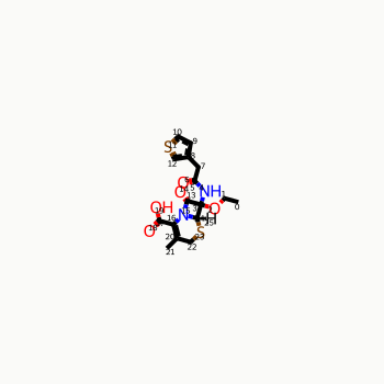 CCOC1(NC(=O)Cc2ccsc2)C(=O)N2C(C(=O)O)=C(C)CS[C@H]21